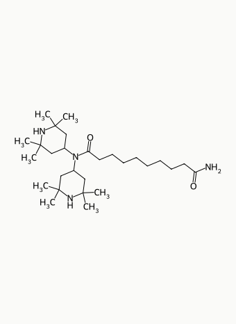 CC1(C)CC(N(C(=O)CCCCCCCCC(N)=O)C2CC(C)(C)NC(C)(C)C2)CC(C)(C)N1